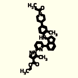 CCOC(=O)c1cnn(-c2cccc(-c3cccc4c3C(Nc3ccc(C5CCN(C(=O)CC)CC5)cc3C)CC4)n2)c1C